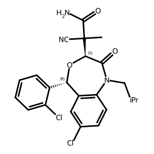 CC(C)CN1C(=O)[C@H](C(C)(C#N)C(N)=O)O[C@@H](c2ccccc2Cl)c2cc(Cl)ccc21